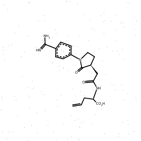 C=CCC(NC(=O)C[C@@H]1CCN(c2ccc(C(=N)N)cc2)C1=O)C(=O)O